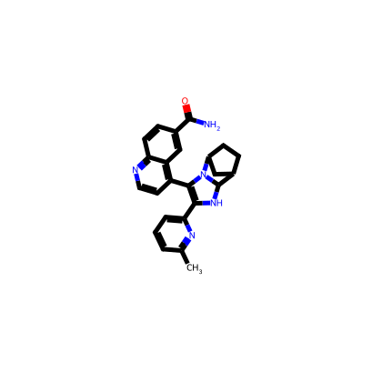 Cc1cccc(C2=C(c3ccnc4ccc(C(N)=O)cc34)N3C4CCC(C4)C3N2)n1